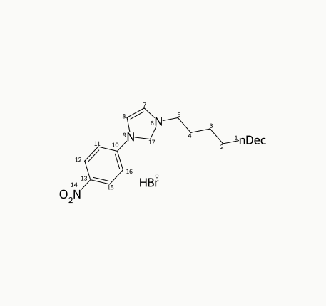 Br.CCCCCCCCCCCCCCN1C=CN(c2ccc([N+](=O)[O-])cc2)C1